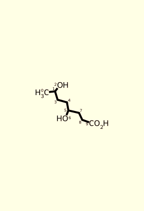 CC(O)CCC(O)CCC(=O)O